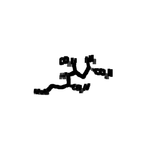 CSCC[C@H](NC(C[C@H](N)C(=O)O)C(=O)O)C(=O)O